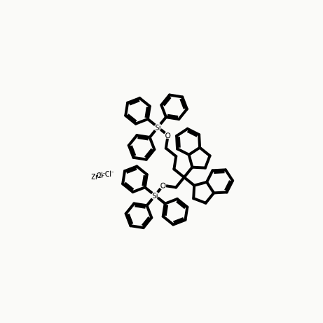 C1=CC2CCC(C(CCCO[Si](c3ccccc3)(c3ccccc3)c3ccccc3)(CO[Si](c3ccccc3)(c3ccccc3)c3ccccc3)C3CCC4C=CC=CC43)C2C=C1.[Cl-].[Cl-].[Zr+2]